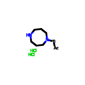 C[C](=O)[Ti][N]1CCCNCCC1.Cl.Cl